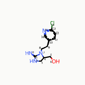 N=C1NCC(CO)N1CCc1ccc(Cl)nc1